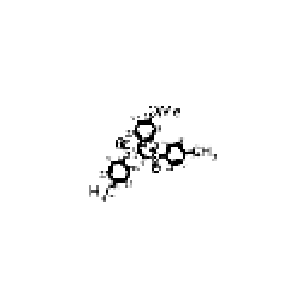 COc1ccc(/C(=C\S(=O)(=O)c2ccc(C)cc2)[S+]([O-])c2ccc(C)cc2)cc1